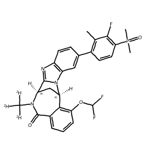 [2H]C([2H])([2H])N1C(=O)c2cccc(OC(F)F)c2[C@H]2C[C@@H]1c1nc3ccc(-c4ccc(P(C)(C)=O)c(F)c4C)cc3n12